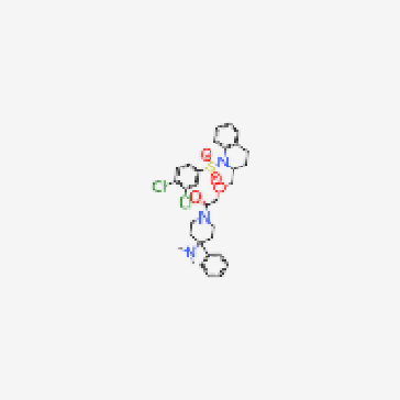 CN(C)C1(c2ccccc2)CCN(C(=O)COCC2CCc3ccccc3N2S(=O)(=O)c2ccc(Cl)c(Cl)c2)CC1